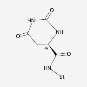 CCNC(=O)[C@H]1CC(=O)NC(=O)N1